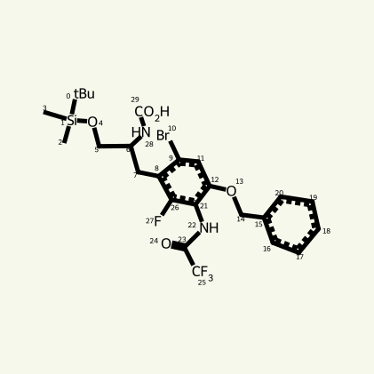 CC(C)(C)[Si](C)(C)OCC(Cc1c(Br)cc(OCc2ccccc2)c(NC(=O)C(F)(F)F)c1F)NC(=O)O